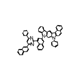 c1ccc(-c2cc(-c3ccc4ccccc4c3)nc(-c3cc(-n4c5ccccc5c5cc6c7c8ccccc8ccc7n(-c7ccccc7)c6cc54)cc4ccccc34)n2)cc1